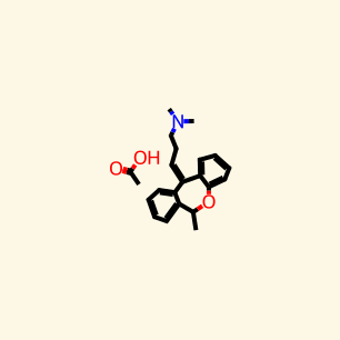 CC(=O)O.CC1Oc2ccccc2C(=CCCN(C)C)c2ccccc21